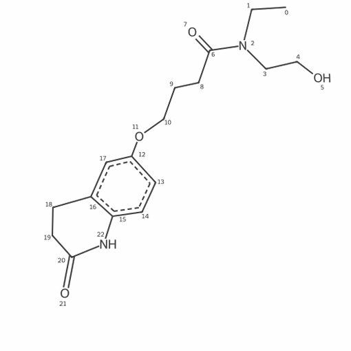 CCN(CCO)C(=O)CCCOc1ccc2c(c1)CCC(=O)N2